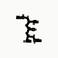 COCC(CC(=O)CC(COC)C(C)(C)C)C(C)(C)C